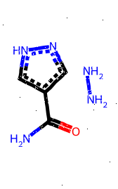 NC(=O)c1cn[nH]c1.NN